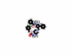 CCCN(C(=O)OCc1ccccc1)C1CCN(CC2CC(N(C)C(=O)c3ccccc3Cl)CC2c2ccccc2)CC1